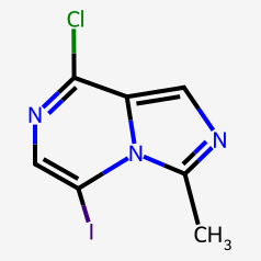 Cc1ncc2c(Cl)ncc(I)n12